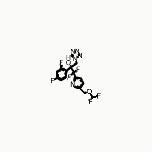 O[C@](Cn1cnnn1)(c1ccc(F)cc1F)C(F)(F)c1ccc(COC(F)F)cn1